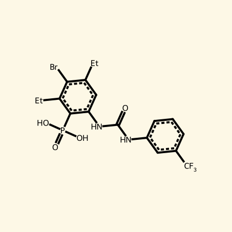 CCc1cc(NC(=O)Nc2cccc(C(F)(F)F)c2)c(P(=O)(O)O)c(CC)c1Br